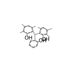 Cc1cc(C)c(C(c2ccccc2O)c2c(C)cc(C)c(C)c2O)c(O)c1C